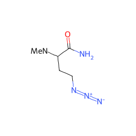 CNC(CCN=[N+]=[N-])C(N)=O